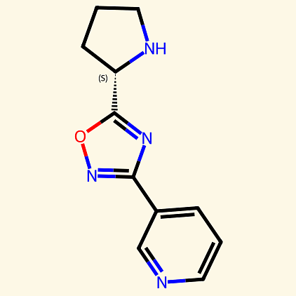 c1cncc(-c2noc([C@@H]3CCCN3)n2)c1